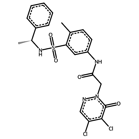 Cc1ccc(NC(=O)Cn2ncc(Cl)c(Cl)c2=O)cc1S(=O)(=O)N[C@H](C)c1ccccc1